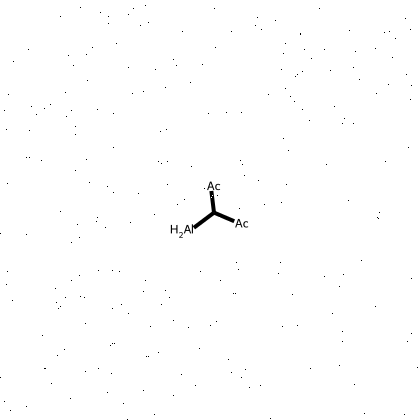 CC(=O)[CH]([AlH2])C(C)=O